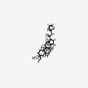 CC[C@@]1(O)CC[C@H]2[C@@H](CC[C@@H]3[C@@H]2CC[C@]2(C)[C@@H](C(=O)Cc4ncco4)CC[C@@H]32)C1